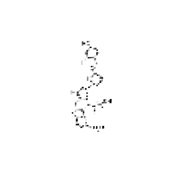 CC(C)(O)C(F)Cn1c(Cc2ccc(-c3cccc(OCc4ccc(C#N)cc4F)n3)cc2F)nc2ccc(C(=O)O)cc21